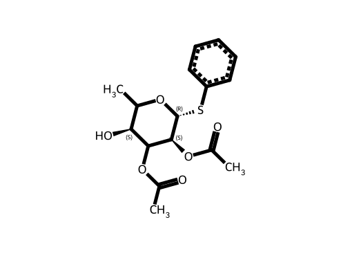 CC(=O)OC1[C@@H](O)C(C)O[C@H](Sc2ccccc2)[C@H]1OC(C)=O